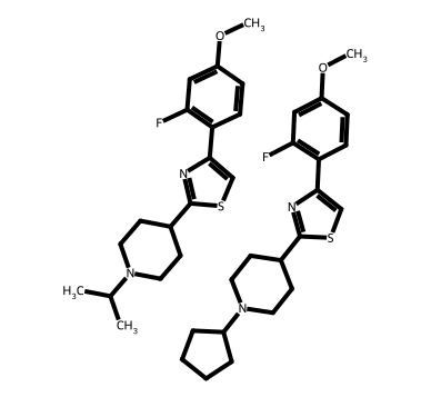 COc1ccc(-c2csc(C3CCN(C(C)C)CC3)n2)c(F)c1.COc1ccc(-c2csc(C3CCN(C4CCCC4)CC3)n2)c(F)c1